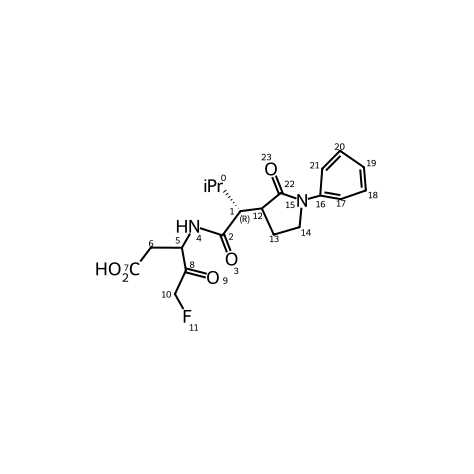 CC(C)[C@@H](C(=O)NC(CC(=O)O)C(=O)CF)C1CCN(c2ccccc2)C1=O